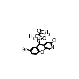 CC(C)(C)[S+]([O-])/N=c1/c2cc(Br)ccc2oc2cnc(Cl)cc12